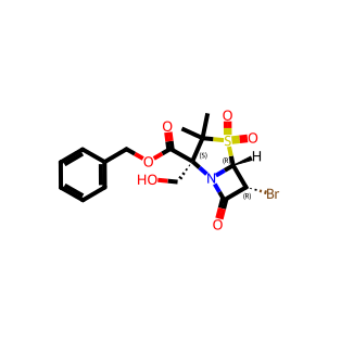 CC1(C)[C@](CO)(C(=O)OCc2ccccc2)N2C(=O)[C@@H](Br)[C@H]2S1(=O)=O